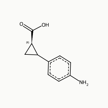 Nc1ccc(C2C[C@H]2C(=O)O)cc1